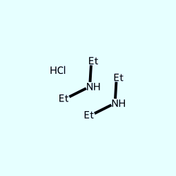 CCNCC.CCNCC.Cl